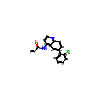 C=CC(=O)Nc1ccnc2ccc(-c3ccccc3Cl)cc12